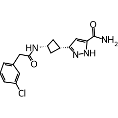 NC(=O)c1cc([C@H]2C[C@@H](NC(=O)Cc3cccc(Cl)c3)C2)n[nH]1